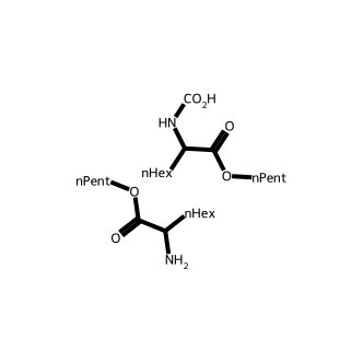 CCCCCCC(N)C(=O)OCCCCC.CCCCCCC(NC(=O)O)C(=O)OCCCCC